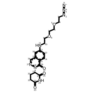 [N-]=[N+]=NCCOCCOCCNc1ccc2c(=O)n([C@H]3CCC(=O)NC3=O)ncc2c1